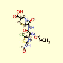 C=CCON=C(C(=O)NC1C(=O)N2C=C(C(=O)O)CS[C@H]12)c1nc(NC=O)sc1Cl